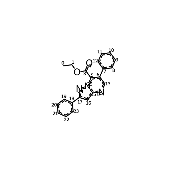 CCOC(=O)c1c(-c2ccccc2)cnc2cc(-c3ccccc3)nn12